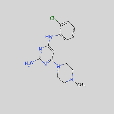 CN1CCN(c2cc(Nc3ccccc3Cl)nc(N)n2)CC1